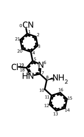 N#Cc1ccc(-c2nc([C@@H](N)Cc3ccccc3)[nH]c2Cl)cc1